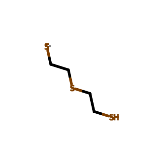 [S]CCSCCS